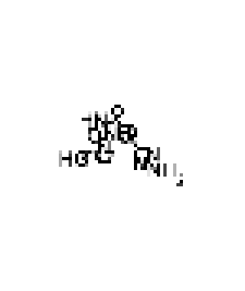 N=C(NC(=O)N1CCC[C@H]1CO)C1(c2ccc(-c3cnc(N)nc3)cc2)CCC1